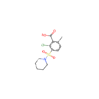 Cc1ccc(S(=O)(=O)N2CCCCC2)c(Cl)c1C(=O)O